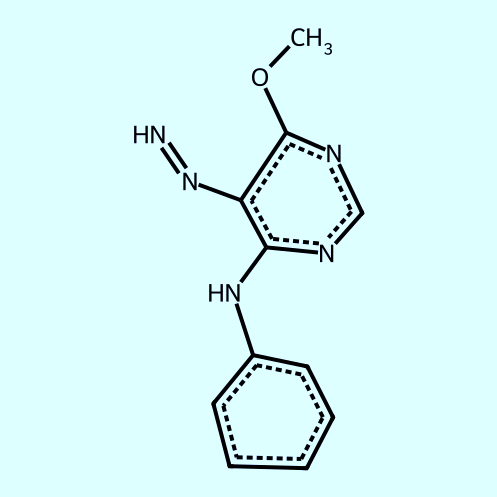 COc1ncnc(Nc2ccccc2)c1N=N